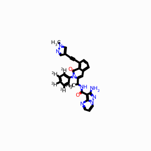 [2H]c1c([2H])c([2H])c(-n2c(C(C)NC(=O)c3c(N)nn4cccnc34)cc3cccc(C#Cc4cnn(C)c4)c3c2=O)c([2H])c1[2H]